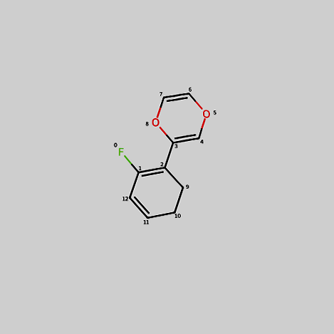 FC1=C(C2=COC=CO2)CCC=C1